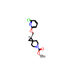 CC(C)(C)OC(=O)N1CCC2(CC1)C[C@H]2COc1cccc(Cl)n1